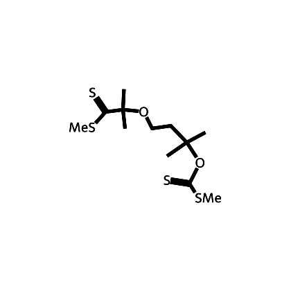 CSC(=S)OC(C)(C)CCOC(C)(C)C(=S)SC